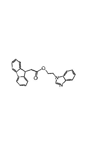 O=C(CC1c2ccccc2-c2ccccc21)OCCn1cnc2ccccc21